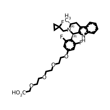 C[C@@H]1Cc2c([nH]c3ccccc23)[C@@H](c2c(F)cc(OCCOCCOCCOCC(=O)O)cc2F)N1CC1(F)CC1